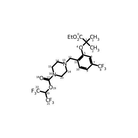 CCOC(=O)C(C)(C)Oc1cc(C(F)(F)F)ccc1CN1CCN(C(=O)OC(C(F)(F)F)C(F)(F)F)CC1